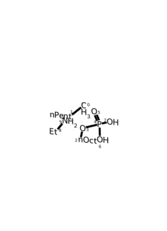 CCCCCC.CCCCCCCCOP(=O)(O)O.CCN